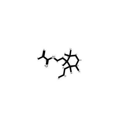 C=C(C)C(=O)OCCC1(C)C(C)(C)CCC(C)C1(C)CCC